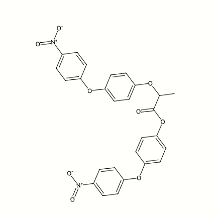 CC(Oc1ccc(Oc2ccc([N+](=O)[O-])cc2)cc1)C(=O)Oc1ccc(Oc2ccc([N+](=O)[O-])cc2)cc1